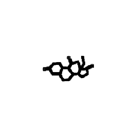 CC[C@]12CC(=O)C3C4CCC(=O)C=C4CCC3C1CCC2=O